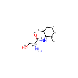 CC1CCCC(C)C1NC(=O)[C@H](N)CO